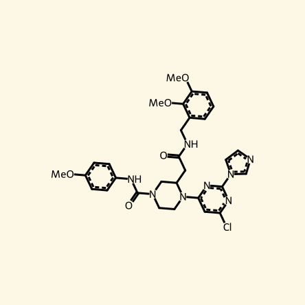 COc1ccc(NC(=O)N2CCN(c3cc(Cl)nc(-n4ccnc4)n3)C(CC(=O)NCc3cccc(OC)c3OC)C2)cc1